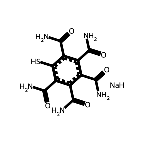 NC(=O)c1c(S)c(C(N)=O)c(C(N)=O)c(C(N)=O)c1C(N)=O.[NaH]